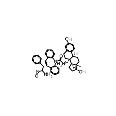 C[C@]12CC[C@@H]3c4ccc(O)cc4CC[C@H]3[C@@H]1CC[C@@H]2O.NC(=O)N1c2ccccc2C=Cc2ccccc21.NC(Cc1ccccc1)N=O